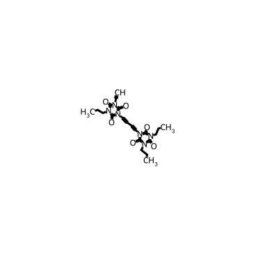 C#Cn1c(=O)n(C#CC#Cn2c(=O)n(CCC)c(=O)n(CCC)c2=O)c(=O)n(CCC)c1=O